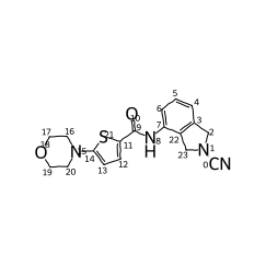 N#CN1Cc2cccc(NC(=O)c3ccc(N4CCOCC4)s3)c2C1